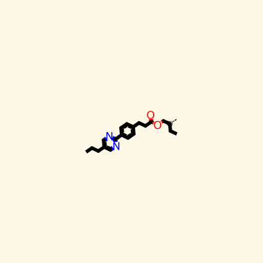 CCCc1cnc(-c2ccc(CCC(=O)OC[C@H](C)CC)cc2)nc1